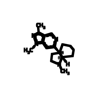 Cc1nn(C)c2cc([C@@]34CCCC[C@@H]3N(C)CC4)ncc12